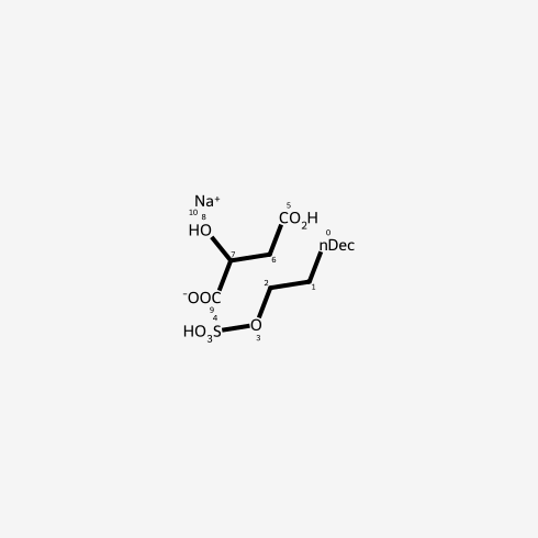 CCCCCCCCCCCCOS(=O)(=O)O.O=C(O)CC(O)C(=O)[O-].[Na+]